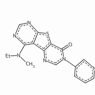 CCN(C)c1ncnc2sc3c(=O)n(-c4cccnc4)cnc3c12